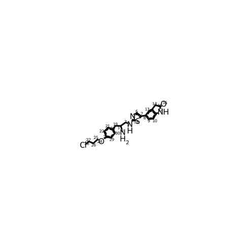 NC(CNc1ncc(-c2ccc3c(c2)CC(=O)N3)s1)Cc1ccc(OCCCCl)cc1